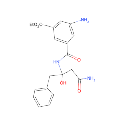 CCOC(=O)c1cc(N)cc(C(=O)NC(O)(CC(N)=O)Cc2ccccc2)c1